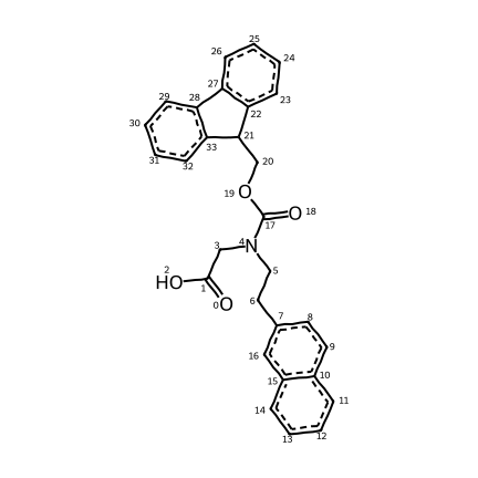 O=C(O)CN(CCc1ccc2ccccc2c1)C(=O)OCC1c2ccccc2-c2ccccc21